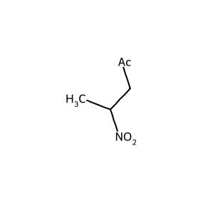 CC(=O)CC(C)[N+](=O)[O-]